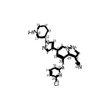 N#Cc1cnn2cc(-c3cnn([C@H]4CCCNC4)c3)cc(Sc3cccc(Cl)n3)c12